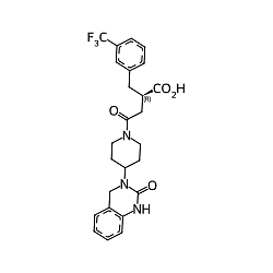 O=C(O)[C@@H](CC(=O)N1CCC(N2Cc3ccccc3NC2=O)CC1)Cc1cccc(C(F)(F)F)c1